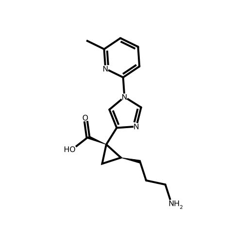 Cc1cccc(-n2cnc([C@@]3(C(=O)O)C[C@@H]3CCCN)c2)n1